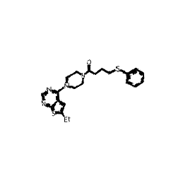 CCc1cc2c(N3CCN(C(=O)CCCSc4ccccc4)CC3)ncnc2s1